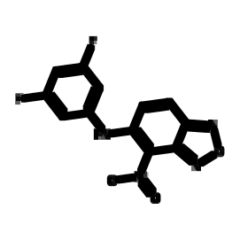 O=[N+]([O-])c1c(Nc2cc(F)cc(F)c2)ccc2nonc12